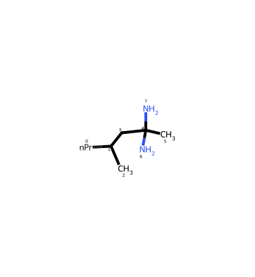 CCCC(C)CC(C)(N)N